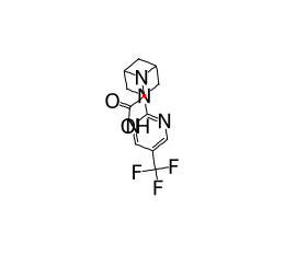 O=C(O)CN1C2CC1CN(c1ncc(C(F)(F)F)cn1)C2